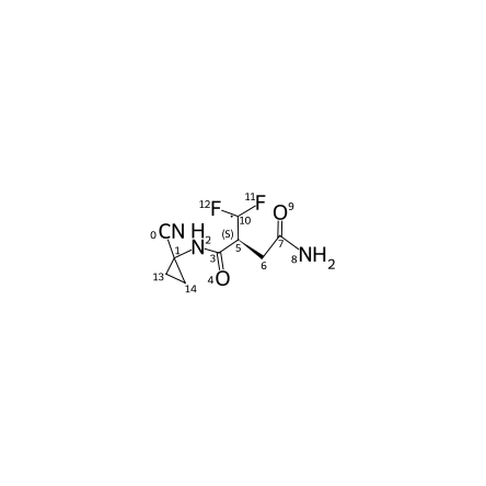 N#CC1(NC(=O)[C@H](CC(N)=O)[C](F)F)CC1